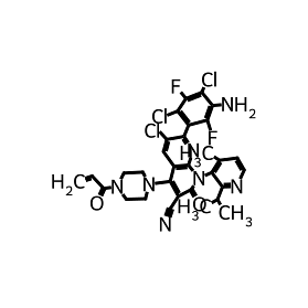 C=CC(=O)N1CCN(c2c(C#N)c(=O)n(-c3c(C)ccnc3C(C)C)c3nc(-c4c(F)c(N)c(Cl)c(F)c4Cl)c(Cl)cc23)CC1